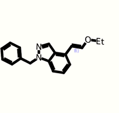 CCO/C=C/c1cccc2c1cnn2Cc1ccccc1